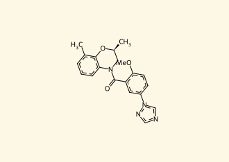 COc1ccc(-n2cncn2)cc1C(=O)N1C[C@H](C)Oc2c(C)cccc21